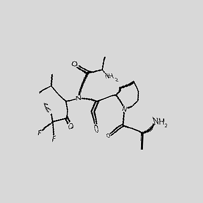 CC(N)C(=O)N1CCCC1C(=O)N(C(=O)C(C)N)C(C(=O)C(F)(F)F)C(C)C